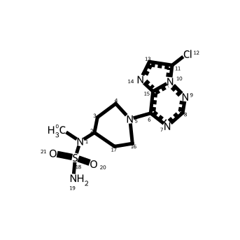 CN(C1CCN(c2ncnn3c(Cl)cnc23)CC1)S(N)(=O)=O